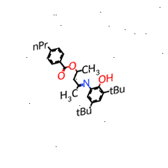 CCCc1ccc(C(=O)OC(C)CC(C)=Nc2cc(C(C)(C)C)cc(C(C)(C)C)c2O)cc1